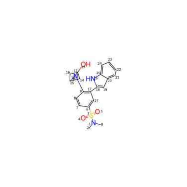 CN(C)S(=O)(=O)c1ccc(N2CC3(O)CC2C3)c(-c2cc3ccccc3[nH]2)c1